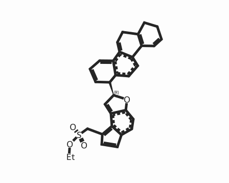 CCOS(=O)(=O)CC1=c2c(ccc3c2=C[C@@H](C2C=CC=c4c2ccc2c4=CCC4=C2C=CCC4)O3)C=C1